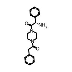 N[C@H](C(=O)N1CCN(C(=O)Cc2ccccc2)CC1)c1ccccc1